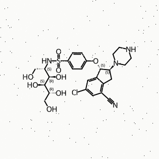 N#Cc1cc(Cl)cc2c1C[C@H](N1CCNCC1)[C@H]2Oc1ccc(S(=O)(=O)N[C@@H](CO)[C@@H](O)[C@H](O)[C@H](O)CO)cc1